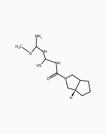 COC(N)NC(S)NC(=O)N1CC2CCC[C@@H]2C1